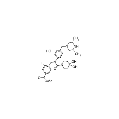 COC(=O)c1ccc(CN(C(=O)N2CCS(O)(O)CC2)c2ccc(CN3C[C@@H](C)N[C@@H](C)C3)cc2)c(F)c1.Cl